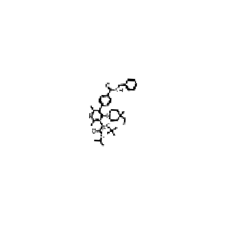 CCC1(C)CCN(c2c(-c3ccc(C(=O)NCc4ccccc4)cc3)c(C)nc(C)c2[C@H](OC(C)(C)C)C(=O)OC(C)C)CC1